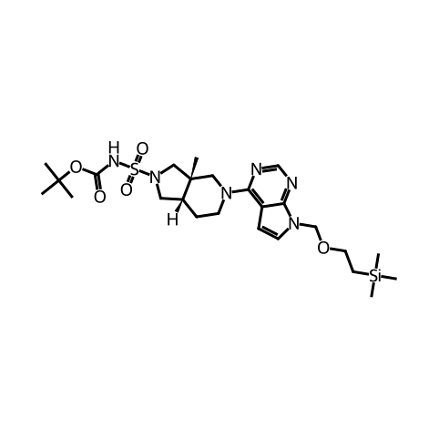 CC(C)(C)OC(=O)NS(=O)(=O)N1C[C@H]2CCN(c3ncnc4c3ccn4COCC[Si](C)(C)C)C[C@@]2(C)C1